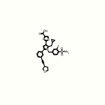 NS(=O)(=O)c1ccc(Cn2c(-c3cccc(C#CC4CCOC4)c3)cc(-c3nc(C(=O)O)cs3)c2CC2CC2)cc1F